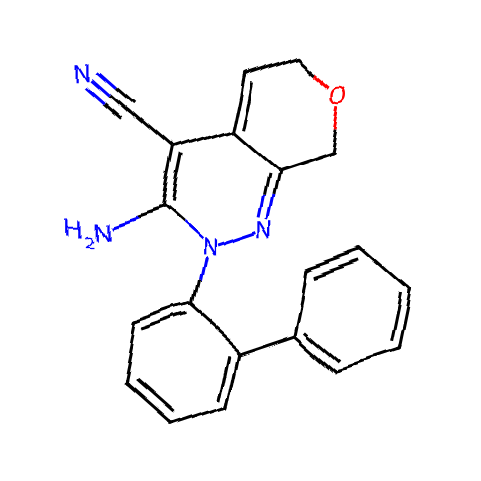 N#CC1=C(N)N(c2ccccc2-c2ccccc2)N=C2COCC=C21